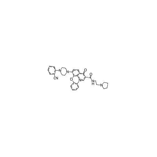 N#Cc1ccccc1N1CCN(c2ccc3c(=O)c(C(=O)NCCN4CCCC4)cn4c3c2Oc2ccccc2-4)CC1